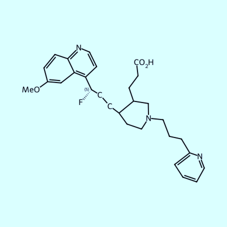 COc1ccc2nccc([C@@H](F)CCC3CCN(CCCc4ccccn4)CC3CCC(=O)O)c2c1